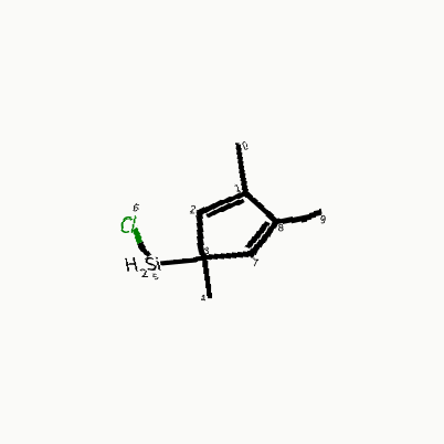 CC1=CC(C)([SiH2]Cl)C=C1C